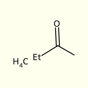 C.CCC(C)=O